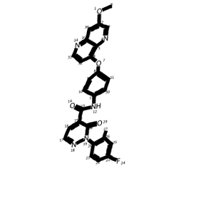 COc1cnc2c(Oc3ccc(NC(=O)c4ccnn(-c5ccc(F)cc5C)c4=O)cc3)ccnc2c1